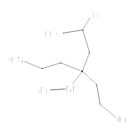 CC(C)CCC(CCN)(CC(C)C(C)C)NC(C)C